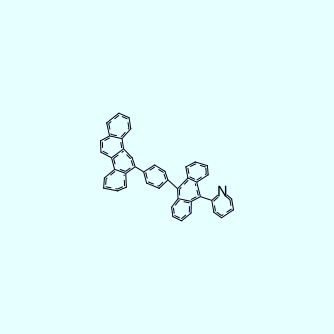 c1ccc(-c2c3ccccc3c(-c3ccc(-c4cc5c6ccccc6ccc5c5ccccc45)cc3)c3ccccc23)nc1